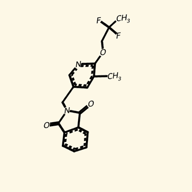 Cc1cc(CN2C(=O)c3ccccc3C2=O)cnc1OCC(C)(F)F